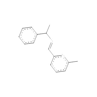 Cc1cccc(C=NC(C)c2ccccc2)n1